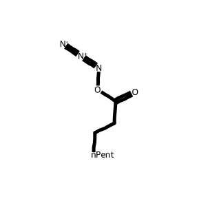 CCCCCCCC(=O)ON=[N+]=[N-]